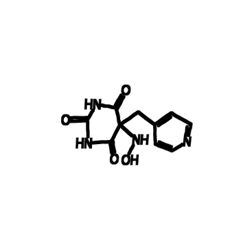 O=C1NC(=O)C(Cc2ccncc2)(NO)C(=O)N1